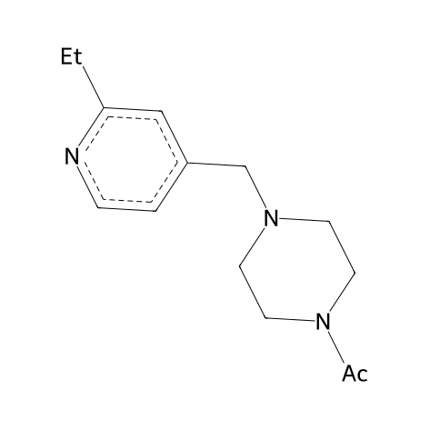 CCc1cc(CN2CCN(C(C)=O)CC2)ccn1